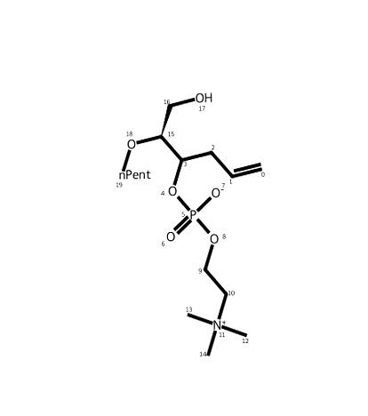 C=CCC(OP(=O)([O-])OCC[N+](C)(C)C)[C@H](CO)OCCCCC